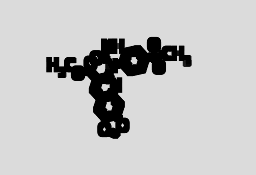 COC(=O)c1cc2cc3c(cc2nc1N(C(N)=O)c1ccc(S(C)(=O)=O)cc1)OCO3